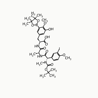 COc1ccc([C@@H](C(=O)N[C@@H](C)C(=O)N[C@@H](Cc2cc(O)c(OC)c(B3OC(C)(C)C(C)(C)O3)c2)C(=O)O)N(C)C(=O)OC(C)(C)C)cc1I